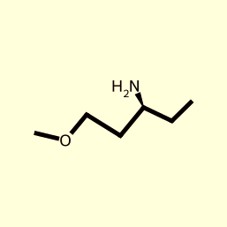 CC[C@H](N)CCOC